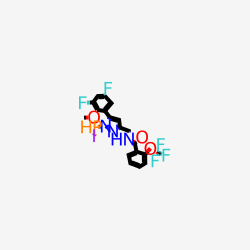 COc1c(F)cc(F)cc1-c1cc(CNC(=O)c2ccccc2OC(F)(F)F)nn1PI